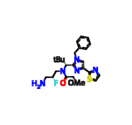 COCC(=O)N(C[C@H](F)CN)[C@@H](c1nc(-c2nccs2)cn1Cc1ccccc1)C(C)(C)C